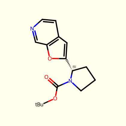 CC(C)(C)OC(=O)N1CCC[C@H]1c1cc2ccncc2o1